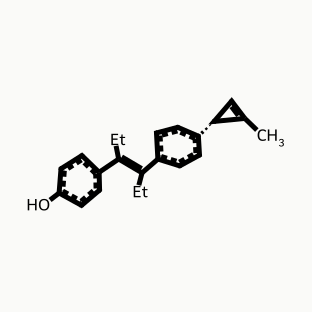 CC/C(=C(/CC)c1ccc([C@@H]2C=C2C)cc1)c1ccc(O)cc1